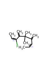 C=C(/C=C\C)C(C)(C)C(=C)/C(F)=C\C